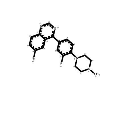 CN1CCN(c2ccc(-c3ncnc4ccc(Br)cc34)cc2F)CC1